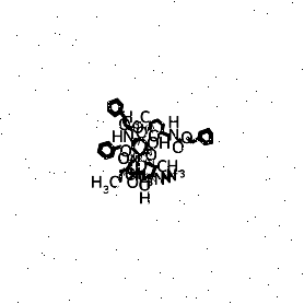 CCC[C@H](C)C(=O)N[C@@H]1C(OCc2ccccc2)[C@H](NC(=O)OCc2ccccc2)C(O[C@H]2OC(CNC(=O)OCc3ccccc3)CCC2C)C(O)[C@H]1O[C@H]1OC(CO)[C@H](O)[C@H](N=[N+]=[N-])C1C